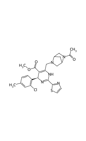 COC(=O)C1=C(CN2CC3CC2CN3C(C)=O)NC(c2nccs2)=N[C@H]1c1ccc(C)cc1Cl